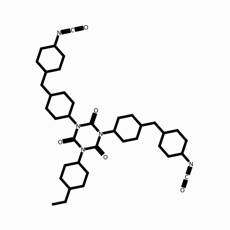 CCC1CCC(n2c(=O)n(C3CCC(CC4CCC(N=C=O)CC4)CC3)c(=O)n(C3CCC(CC4CCC(N=C=O)CC4)CC3)c2=O)CC1